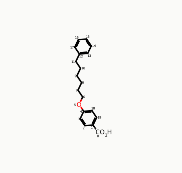 O=C(O)c1ccc(OCCCCCCc2ccccc2)cc1